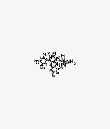 COc1cc2c(cc1OC)-c1c/c(=N\c3c(C)cc(C)cc3C)n(CCNC(=N)N)c(=O)n1CC2